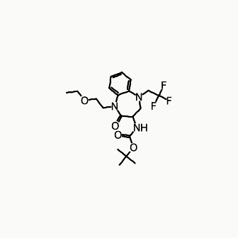 CCOCCN1C(=O)C(NC(=O)OC(C)(C)C)CN(CC(F)(F)F)c2ccccc21